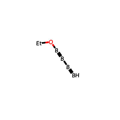 B=BB=BOCC